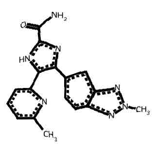 Cc1cccc(-c2[nH]c(C(N)=O)nc2-c2ccc3nn(C)nc3c2)n1